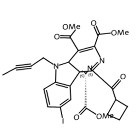 CC#CCN1c2ccc(I)cc2[C@]23C[C@@H](C(=O)OC)N(C(=O)C4CCC4)C2=NC(C(=O)OC)=C(C(=O)OC)C13